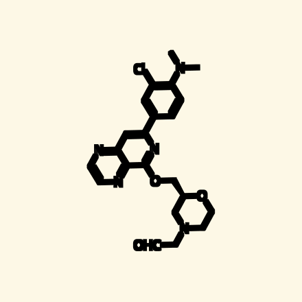 CN(C)c1ccc(-c2cc3nccnc3c(OC[C@@H]3CN(CC=O)CCO3)n2)cc1Cl